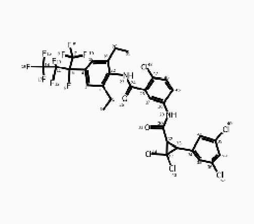 CCc1cc(C(F)(C(F)(F)F)C(F)(F)C(F)(F)F)cc(CC)c1NC(=O)c1cc(NC(=O)C2C(c3cc(Cl)cc(Cl)c3)C2(Cl)Cl)ccc1Cl